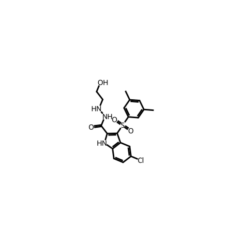 Cc1cc(C)cc(S(=O)(=O)c2c(C(=O)NNCCO)[nH]c3ccc(Cl)cc23)c1